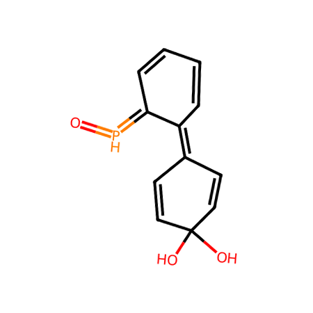 O=[PH]=C1C=CC=CC1=C1C=CC(O)(O)C=C1